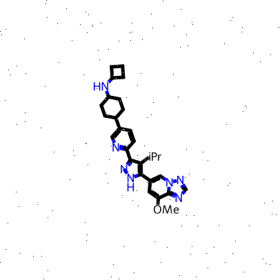 COc1cc(-c2[nH]nc(-c3ccc(C4CCC(NC5CCC5)CC4)cn3)c2C(C)C)cn2ncnc12